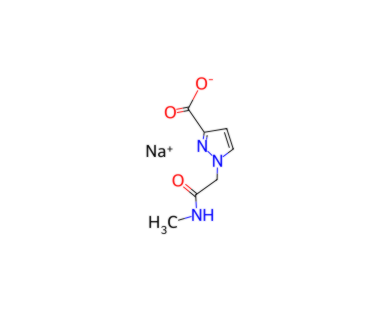 CNC(=O)Cn1ccc(C(=O)[O-])n1.[Na+]